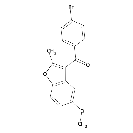 COc1ccc2oc(C)c(C(=O)c3ccc(Br)cc3)c2c1